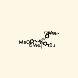 COc1ccc(C=CC2=CC(C=Cc3ccc(OC)c(OC)c3)N(c3ccc(C(C)(C)C)cc3)N2)cc1OC